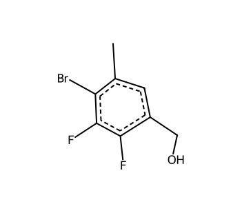 Cc1cc(CO)c(F)c(F)c1Br